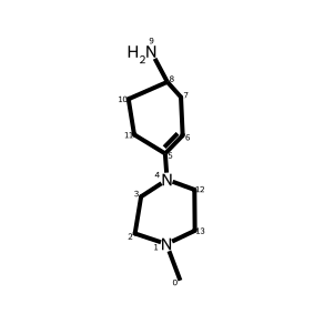 CN1CCN(C2=CCC(N)CC2)CC1